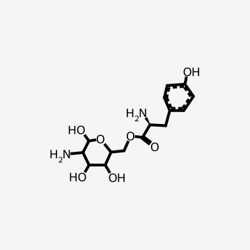 NC1C(O)OC(COC(=O)[C@@H](N)Cc2ccc(O)cc2)C(O)C1O